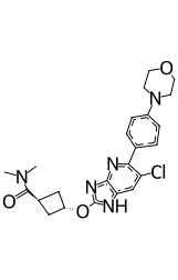 CN(C)C(=O)[C@H]1C[C@H](Oc2nc3nc(-c4ccc(N5CCOCC5)cc4)c(Cl)cc3[nH]2)C1